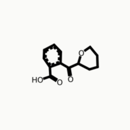 O=C(O)c1ccccc1C(=O)C1CCCCO1